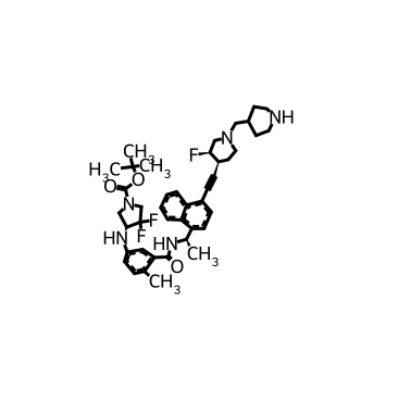 Cc1ccc(N[C@@H]2CN(C(=O)OC(C)(C)C)CC2(F)F)cc1C(=O)N[C@H](C)c1ccc(C#C[C@@H]2CCN(CC3CCNCC3)C[C@@H]2F)c2ccccc12